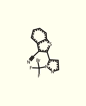 N#Cc1c(-c2ccnn2C(F)(F)Br)sc2ccccc12